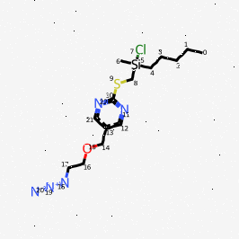 CCCCC[Si](C)(Cl)CSc1ncc(COCCN=[N+]=[N-])cn1